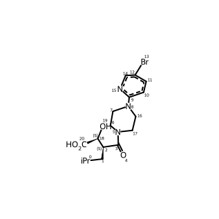 CC(C)C[C@H](C(=O)N1CCN(c2ccc(Br)cn2)CC1)[C@H](O)C(=O)O